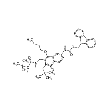 CCCCOc1c(CNC(=O)OC(C)(C)C)n(CC(C)(C)C)c(=O)c2ccc(NC(=O)OCC3c4ccccc4-c4ccccc43)cc12